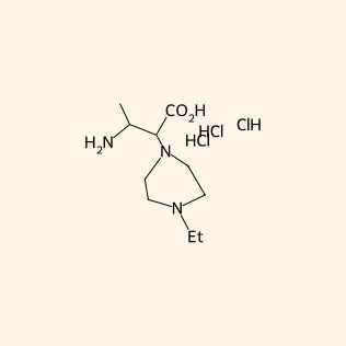 CCN1CCN(C(C(=O)O)C(C)N)CC1.Cl.Cl.Cl